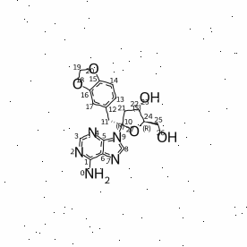 Nc1ncnc2c1ncn2[C@@]1(Cc2ccc3c(c2)OCO3)C[C@H](O)[C@@H](CO)O1